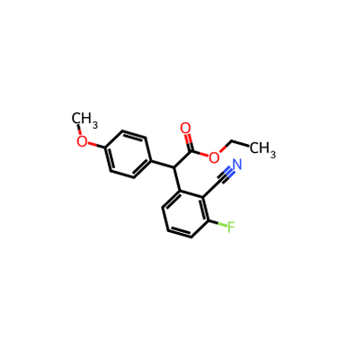 CCOC(=O)C(c1ccc(OC)cc1)c1cccc(F)c1C#N